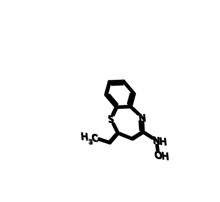 CCC1CC(NO)=Nc2ccccc2S1